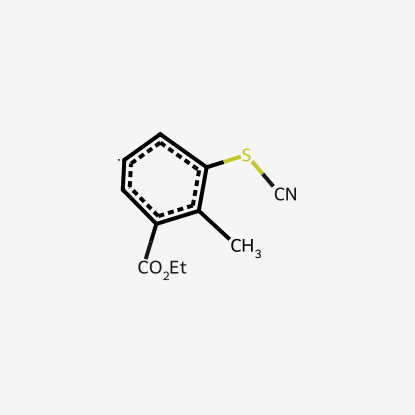 CCOC(=O)c1c[c]cc(SC#N)c1C